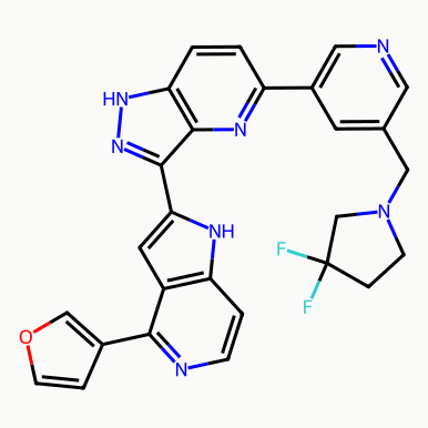 FC1(F)CCN(Cc2cncc(-c3ccc4[nH]nc(-c5cc6c(-c7ccoc7)nccc6[nH]5)c4n3)c2)C1